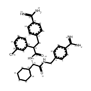 N=C(N)c1ccc(CNC(=O)[C@@H](NC(=O)C(Cc2ccc(C(=N)N)cc2)c2cccc(Cl)c2)C2CCCCC2)cc1